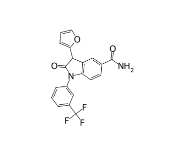 NC(=O)c1ccc2c(c1)C(c1ccco1)C(=O)N2c1cccc(C(F)(F)F)c1